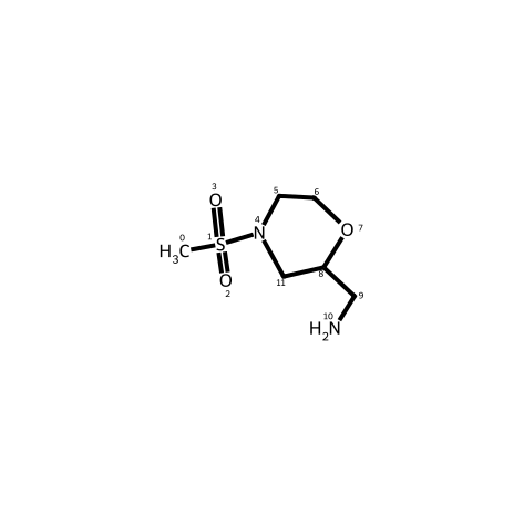 CS(=O)(=O)N1CCOC(CN)C1